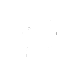 C=C(C)C(/C(C)=C\C)=C(C)\C(Br)=C/C